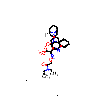 CCN(CC)C(=O)CON=C(C(=O)O)c1nc2ccccc2n([C@@H]2CC3CCC[C@H](C2)N3C2CC3CCCC(C3)C2)c1=O